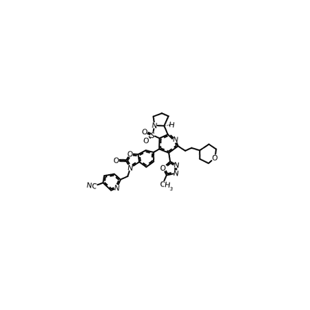 Cc1nnc(-c2c(CCC3CCOCC3)nc3c(c2-c2ccc4c(c2)oc(=O)n4Cc2ccc(C#N)cn2)S(=O)(=O)N2CCC[C@@H]32)o1